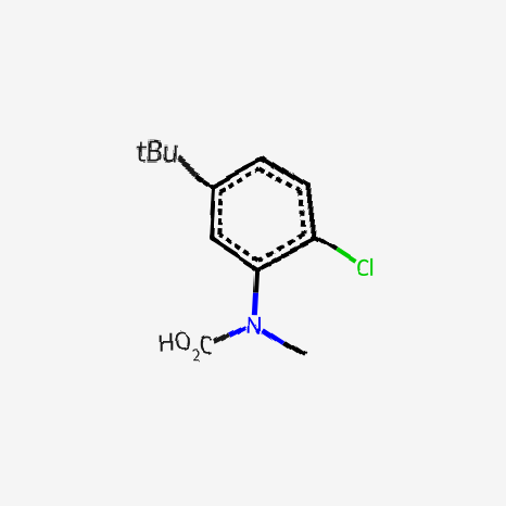 CN(C(=O)O)c1cc(C(C)(C)C)ccc1Cl